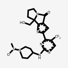 C[S+]([O-])N1CCC(Nc2ncc(C(F)(F)F)c(-c3cc4c(s3)C3(CO)CCCN3C4=O)n2)CC1